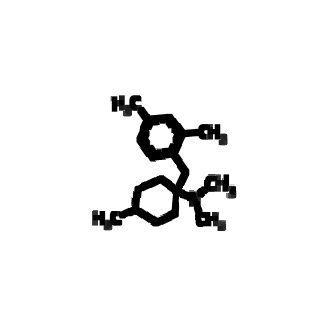 Cc1ccc(CC2(N(C)C)CCC(C)CC2)c(C)c1